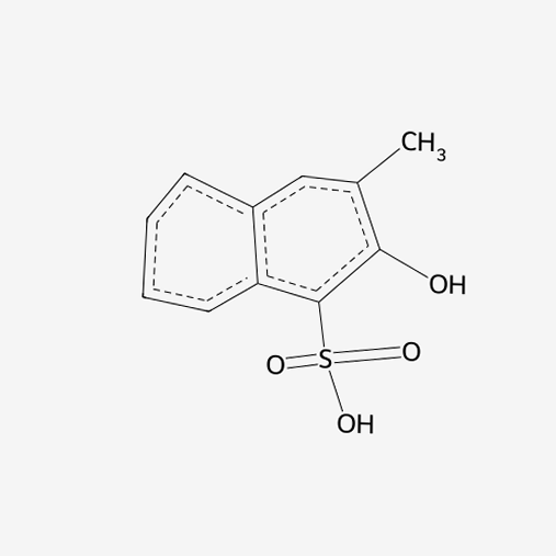 Cc1cc2ccccc2c(S(=O)(=O)O)c1O